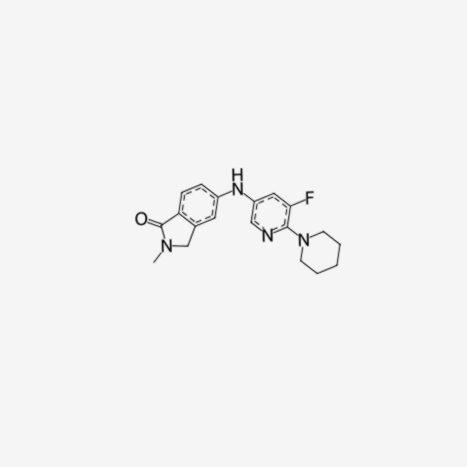 CN1Cc2cc(Nc3cnc(N4CCCCC4)c(F)c3)ccc2C1=O